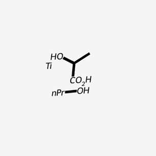 CC(O)C(=O)O.CCCO.[Ti]